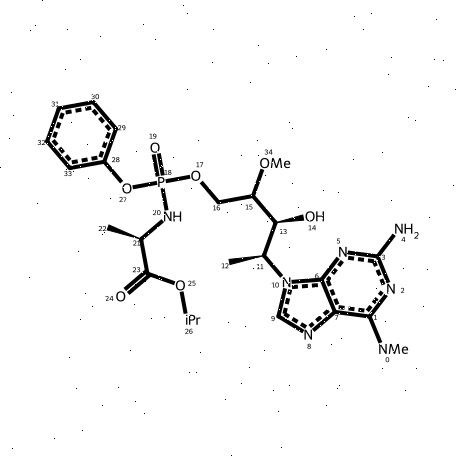 CNc1nc(N)nc2c1ncn2[C@@H](C)[C@H](O)C(COP(=O)(N[C@H](C)C(=O)OC(C)C)Oc1ccccc1)OC